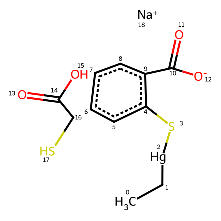 C[CH2][Hg][S]c1ccccc1C(=O)[O-].O=C(O)CS.[Na+]